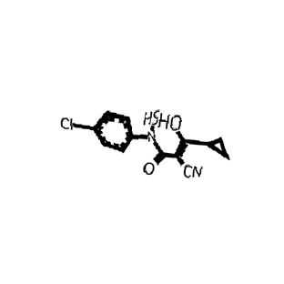 N#CC(C(=O)N(S)c1ccc(Cl)cc1)=C(O)C1CC1